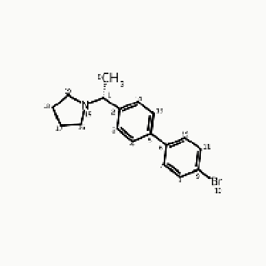 C[C@H](c1ccc(-c2ccc(Br)cc2)cc1)N1CCCC1